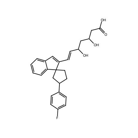 O=C(O)CC(O)CC(O)/C=C/C1=Cc2ccccc2C12CCC(c1ccc(F)cc1)C2